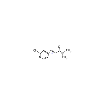 CN(C)C(=O)/C=C/c1ccnc(Cl)c1